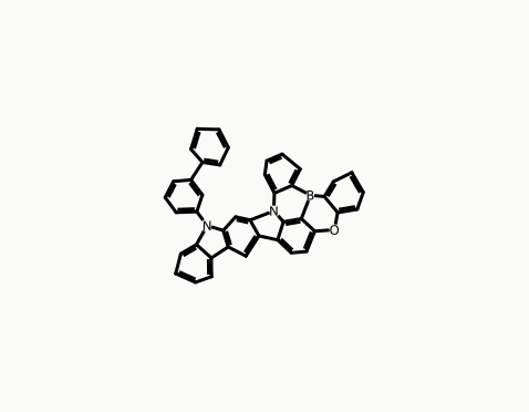 c1ccc(-c2cccc(-n3c4ccccc4c4cc5c6ccc7c8c6n(c5cc43)-c3ccccc3B8c3ccccc3O7)c2)cc1